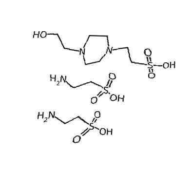 NCCS(=O)(=O)O.NCCS(=O)(=O)O.O=S(=O)(O)CCN1CCN(CCO)CC1